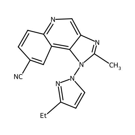 CCc1ccn(-n2c(C)nc3cnc4ccc(C#N)cc4c32)n1